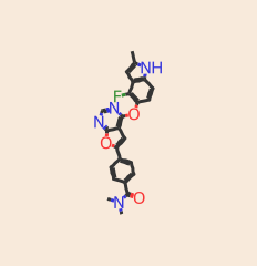 Cc1cc2c(F)c(Oc3ncnc4oc(-c5ccc(C(=O)N(C)C)cc5)cc34)ccc2[nH]1